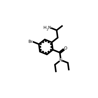 CCN(CC)C(=O)c1ccc(Br)cc1CC(C)N